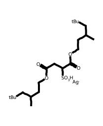 CC(CCOC(=O)CC(C(=O)OCCC(C)CC(C)(C)C)S(=O)(=O)O)CC(C)(C)C.[Ag]